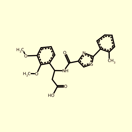 COc1cccc(C(CC(=O)O)NC(=O)c2csc(-c3ccccc3C)n2)c1OC